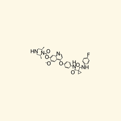 COc1cc2c(Oc3ccc(NC(=O)C4(C(=O)Nc5ccc(F)cc5)CC4)cc3)ccnc2cc1OC(=O)N1[C@H](C)CNC[C@@H]1C